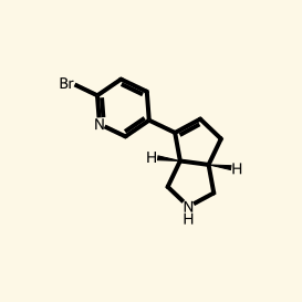 Brc1ccc(C2=CC[C@@H]3CNC[C@H]23)cn1